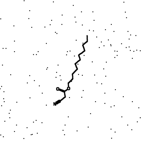 CCCCCCCCCCCOC(=O)CC#N